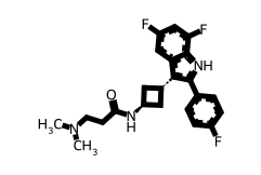 CN(C)CCC(=O)N[C@H]1C[C@H](c2c(-c3ccc(F)cc3)[nH]c3c(F)cc(F)cc32)C1